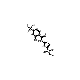 CCS(=O)(=O)c1cnc(NC(=O)c2ccc(C(F)(F)F)cc2O)s1